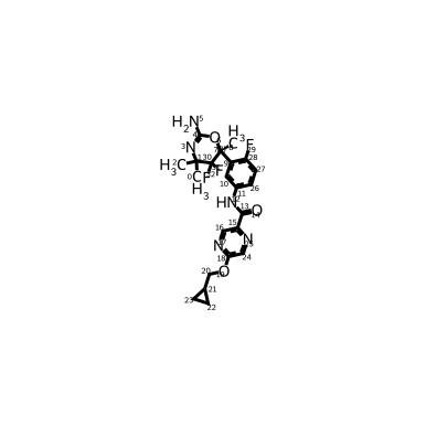 CC1(C)N=C(N)O[C@](C)(c2cc(NC(=O)c3cnc(OCC4CC4)cn3)ccc2F)C1(F)F